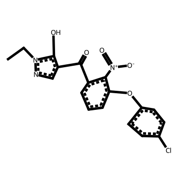 CCn1ncc(C(=O)c2cccc(Oc3ccc(Cl)cc3)c2[N+](=O)[O-])c1O